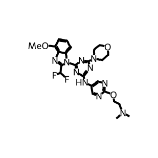 COc1cccc2c1nc(C(F)F)n2-c1nc(Nc2cnc(OCCN(C)C)nc2)nc(N2CCOCC2)n1